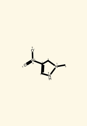 CN1CC([N+](=O)[O-])=[C]N1